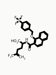 C=C(CCC(NC(=O)c1ccc2ccccc2c1OCc1ccc(S(F)(F)F)cc1)C(=O)O)C(F)(F)F